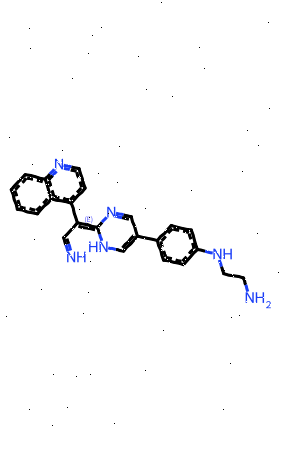 N=C/C(=C1/N=CC(c2ccc(NCCN)cc2)=CN1)c1ccnc2ccccc12